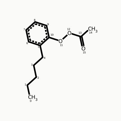 CCCCCc1ccccc1OOC(C)=O